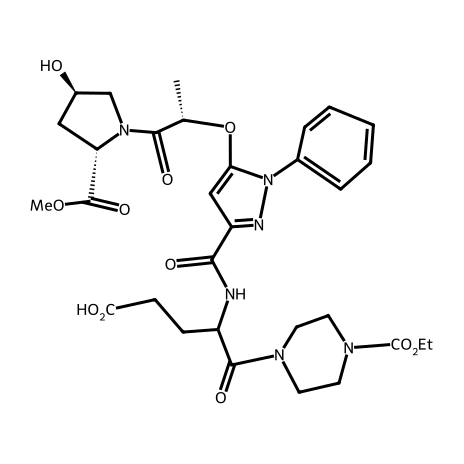 CCOC(=O)N1CCN(C(=O)C(CCC(=O)O)NC(=O)c2cc(O[C@@H](C)C(=O)N3C[C@H](O)C[C@H]3C(=O)OC)n(-c3ccccc3)n2)CC1